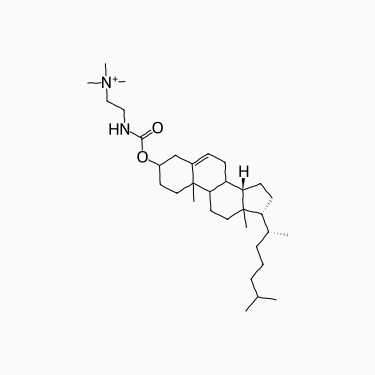 CC(C)CCC[C@@H](C)[C@H]1CC[C@H]2C3CC=C4CC(OC(=O)NCC[N+](C)(C)C)CCC4(C)C3CCC12C